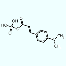 CN(C)c1ccc(C=CC(=O)OP(=O)(O)O)cc1